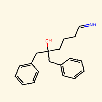 N=CCCCC(O)(Cc1ccccc1)Cc1ccccc1